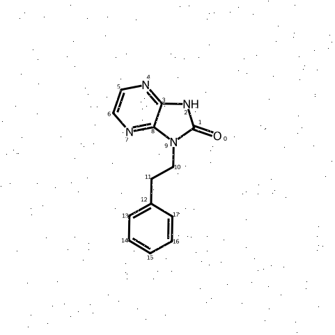 O=c1[nH]c2nccnc2n1CCc1ccccc1